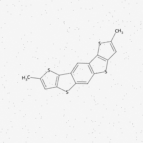 Cc1cc2sc3cc4sc5cc(C)sc5c4cc3c2s1